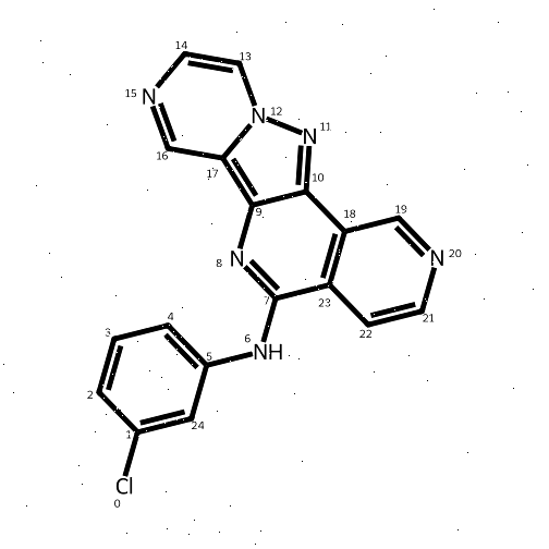 Clc1cccc(Nc2nc3c(nn4ccncc34)c3cnccc23)c1